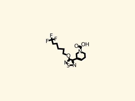 O=C(O)N1CCC=C(c2nsnc2OCCCCCC(F)(F)F)C1